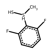 C[SH](S)c1c(F)cccc1F